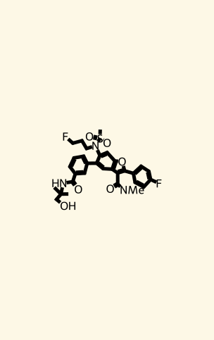 CNC(=O)c1c(-c2ccc(F)cc2)oc2cc(N(CCCF)S(C)(=O)=O)c(-c3cccc(C(=O)NC(C)(C)CO)c3)cc12